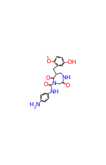 COc1ccc(O)cc1CC1CNC(=O)CN(C(=O)Nc2ccc(N)cc2)C1=O